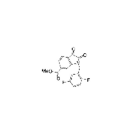 COC(=O)c1ccc2c(c1)N(Cc1cc(F)ccc1F)C(=O)C2=O